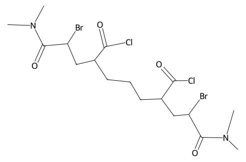 CN(C)C(=O)C(Br)CC(CCCC(CC(Br)C(=O)N(C)C)C(=O)Cl)C(=O)Cl